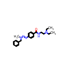 CCN(CC)CCNC(=O)c1ccc(N=NN(C)Cc2ccccc2)cc1